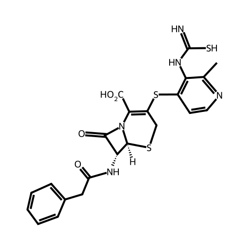 Cc1nccc(SC2=C(C(=O)O)N3C(=O)[C@@H](NC(=O)Cc4ccccc4)[C@@H]3SC2)c1NC(=N)S